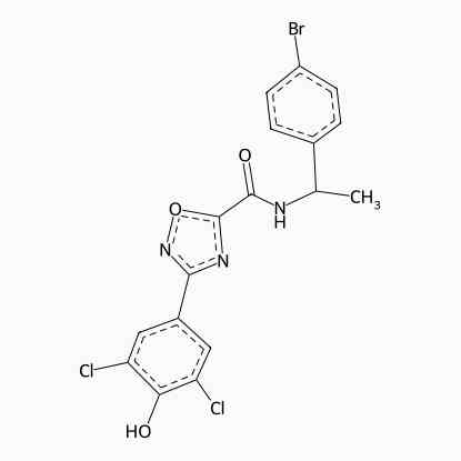 CC(NC(=O)c1nc(-c2cc(Cl)c(O)c(Cl)c2)no1)c1ccc(Br)cc1